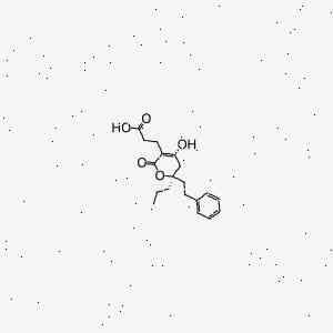 CCC[C@@]1(CCc2ccccc2)CC(O)=C(CCC(=O)O)C(=O)O1